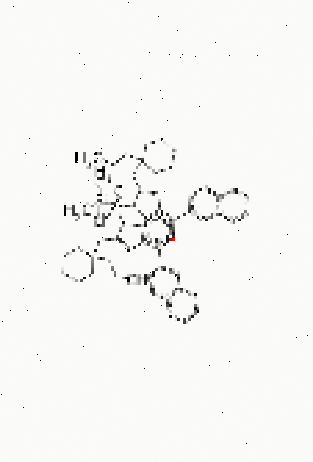 CCCC1(CC2=Cc3c(-c4ccc5ccccc5c4)cccc3[CH]2[Zr]([Cl])([Cl])([CH]2C(CC3(CCC)CCCCC3)=Cc3c(-c4ccc5ccccc5c4)cccc32)[SiH](C)C)CCCCC1